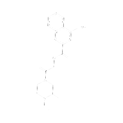 CCOC(=O)N1CCN(C(=O)CNC(=O)c2cc(OC)c3ccccc3n2)CC1C